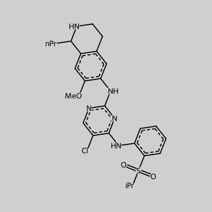 CCCC1NCCc2cc(Nc3ncc(Cl)c(Nc4ccccc4S(=O)(=O)C(C)C)n3)c(OC)cc21